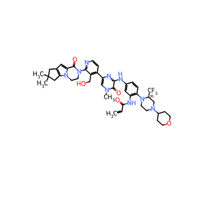 C=CC(=O)Nc1cc(Nc2nc(-c3ccnc(N4CCn5c(cc6c5CC(C)(C)C6)C4=O)c3CO)cn(C)c2=O)ccc1N1CCN(C2CCOCC2)C[C@@H]1C(F)(F)F